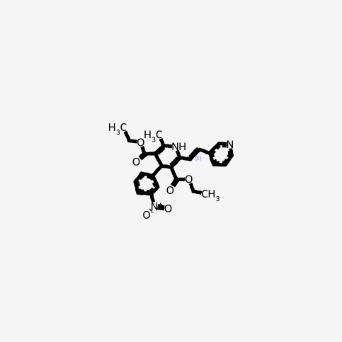 CCOC(=O)C1=C(C)NC(/C=C/c2cccnc2)=C(C(=O)OCC)C1c1cccc([N+](=O)[O-])c1